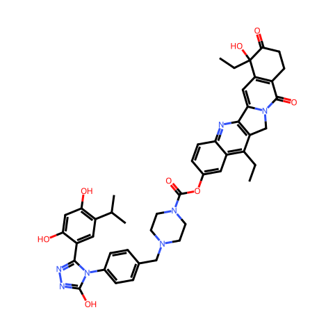 CCc1c2c(nc3ccc(OC(=O)N4CCN(Cc5ccc(-n6c(O)nnc6-c6cc(C(C)C)c(O)cc6O)cc5)CC4)cc13)-c1cc3c(c(=O)n1C2)CCC(=O)C3(O)CC